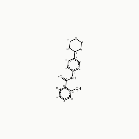 O=C(Nc1ccc(C2CCCCC2)cc1)c1ncccc1O